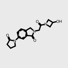 O=C(CN1Cc2ccc(N3CCCC3=O)cc2C1=O)N1CC(O)C1